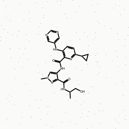 CC(CO)NC(=O)c1nn(C)cc1NC(=O)c1nc(C2CC2)ccc1Nc1cncnc1